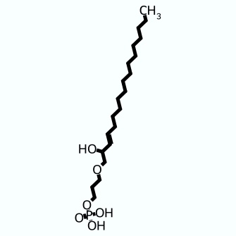 CCCCCCCCCCCCCCC=CC(O)COCCCOP(=O)(O)O